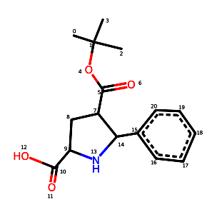 CC(C)(C)OC(=O)C1CC(C(=O)O)NC1c1ccccc1